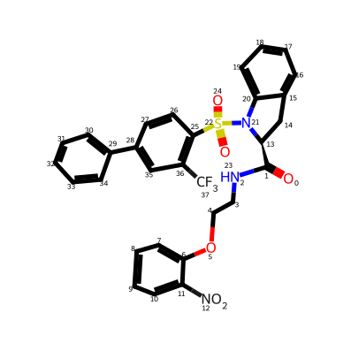 O=C(NCCOc1ccccc1[N+](=O)[O-])[C@@H]1Cc2ccccc2N1S(=O)(=O)c1ccc(-c2ccccc2)cc1C(F)(F)F